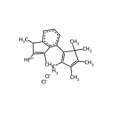 CC1=C(C)C(C)(C)C(c2cccc3c2C(C)=[C]([Hf+2])C3C)=C1C.[Cl-].[Cl-]